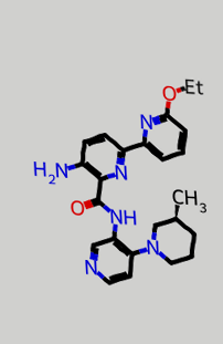 CCOc1cccc(-c2ccc(N)c(C(=O)Nc3cnccc3N3CCC[C@H](C)C3)n2)n1